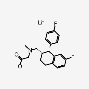 CN(CC(=O)[O-])C[C@H]1CCc2ccc(F)cc2[C@H]1c1ccc(F)cc1.[Li+]